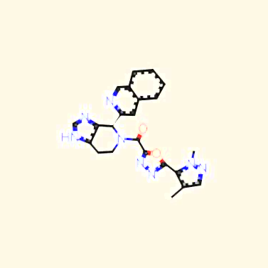 Cc1cnn(C)c1-c1nnc(C(=O)N2CCc3[nH]cnc3[C@H]2c2cc3ccccc3cn2)o1